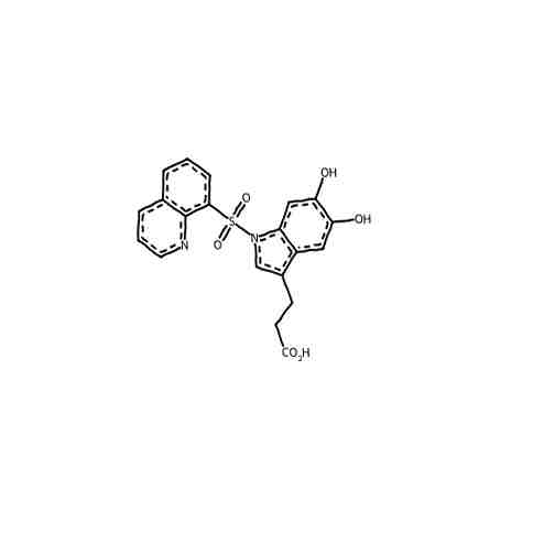 O=C(O)CCc1cn(S(=O)(=O)c2cccc3cccnc23)c2cc(O)c(O)cc12